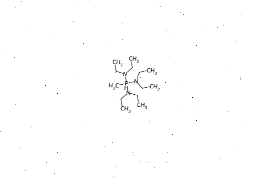 CCN(CC)[PH](C)(N(CC)CC)N(CC)CC